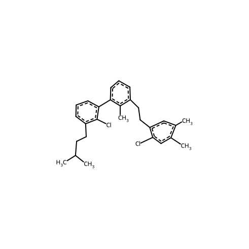 Cc1cc(Cl)c(CCc2cccc(-c3cccc(CCC(C)C)c3Cl)c2C)cc1C